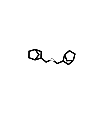 C1CC2CC1CC2COCC1CC2CCC1C2